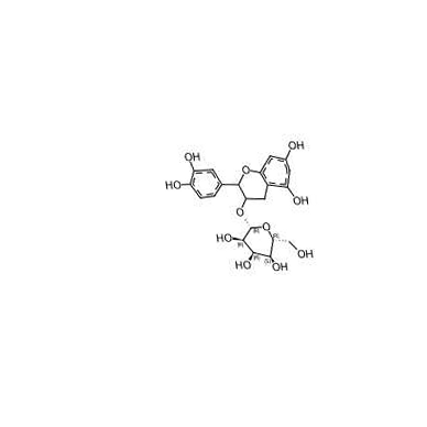 OC[C@H]1O[C@@H](OC2Cc3c(O)cc(O)cc3OC2c2ccc(O)c(O)c2)[C@H](O)[C@H](O)[C@@H]1O